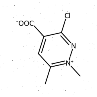 Cc1cc(C(=O)[O-])c(Cl)n[n+]1C